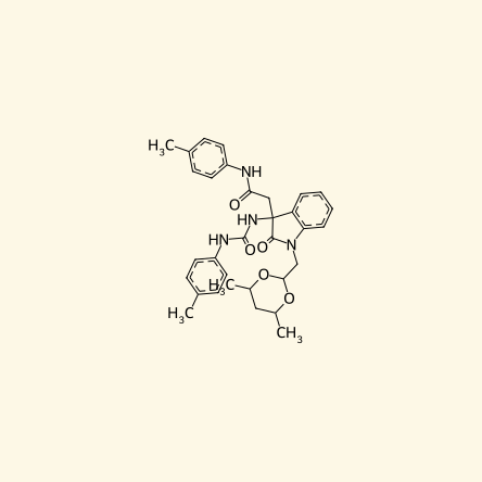 Cc1ccc(NC(=O)CC2(NC(=O)Nc3ccc(C)cc3)C(=O)N(CC3OC(C)CC(C)O3)c3ccccc32)cc1